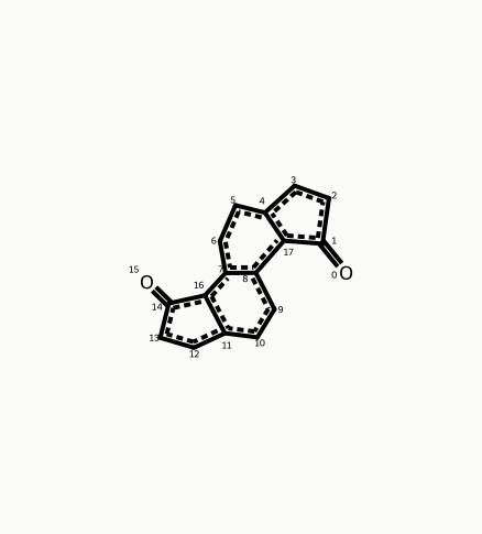 O=c1ccc2ccc3c(ccc4ccc(=O)c43)c12